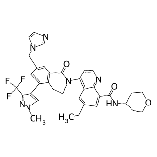 CCc1cc(C(=O)NC2CCOCC2)c2nccc(N3CCc4c(cc(Cn5ccnc5)cc4-c4cn(C)nc4C(F)(F)F)C3=O)c2c1